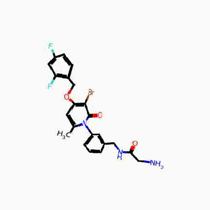 Cc1cc(OCc2ccc(F)cc2F)c(Br)c(=O)n1-c1cccc(CNC(=O)CN)c1